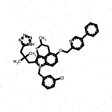 CC1Cc2c(OCc3ccc(-c4ccccc4)cn3)ccc3c2c(c(CC(C)(C)Cc2nnn[nH]2)n3Cc2cccc(Cl)c2)S1